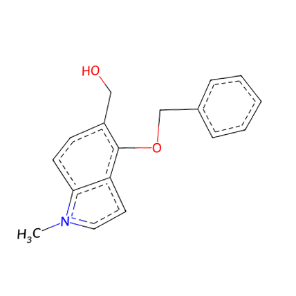 Cn1ccc2c(OCc3ccccc3)c(CO)ccc21